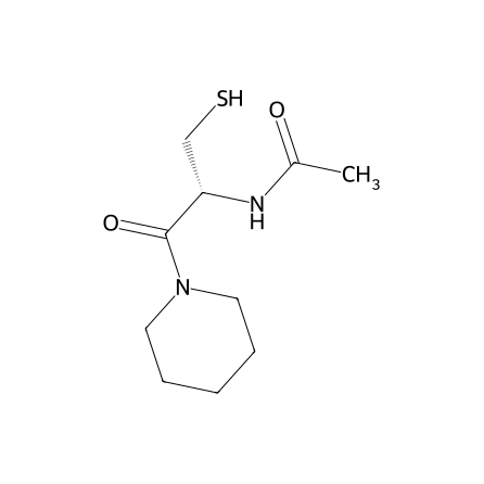 CC(=O)N[C@@H](CS)C(=O)N1CCCCC1